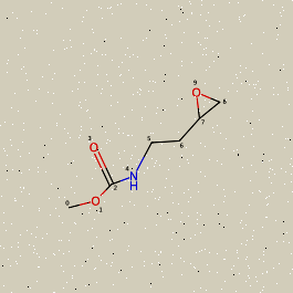 COC(=O)NCCC1CO1